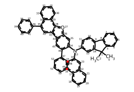 CC1(C)c2ccccc2-c2ccc(N(c3ccc4ccccc4c3)c3cc4oc5c6ccccc6c(-c6ccccc6)cc5c4cc3-c3ccccc3)cc21